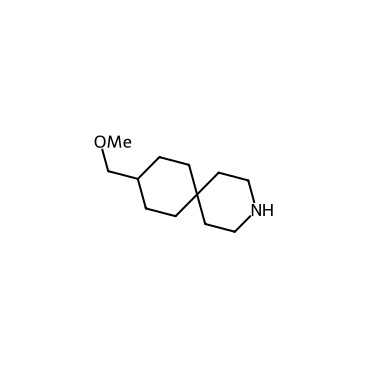 COCC1CCC2(CCNCC2)CC1